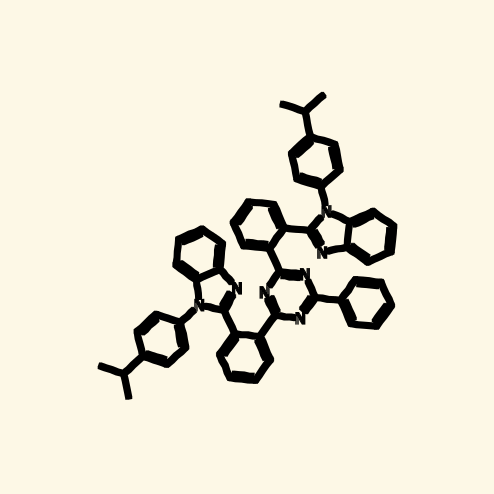 CC(C)c1ccc(-n2c(-c3ccccc3-c3nc(-c4ccccc4)nc(-c4ccccc4-c4nc5ccccc5n4-c4ccc(C(C)C)cc4)n3)nc3ccccc32)cc1